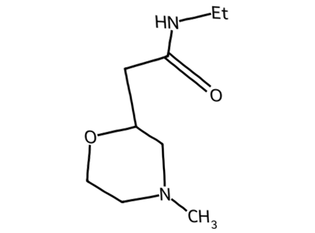 CCNC(=O)CC1CN(C)CCO1